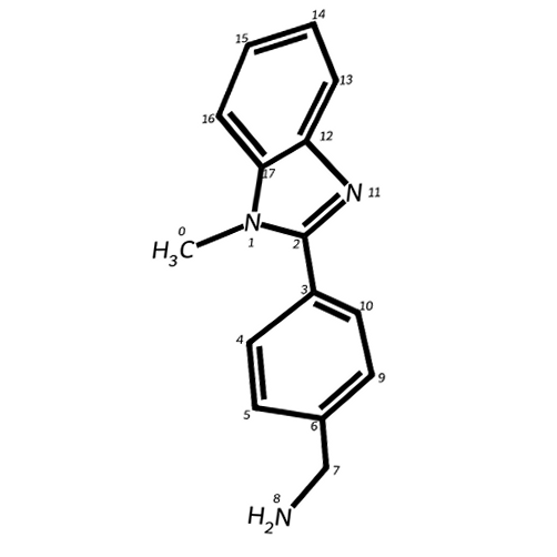 Cn1c(-c2ccc(CN)cc2)nc2ccccc21